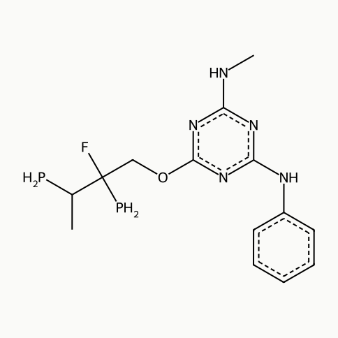 CNc1nc(Nc2ccccc2)nc(OCC(F)(P)C(C)P)n1